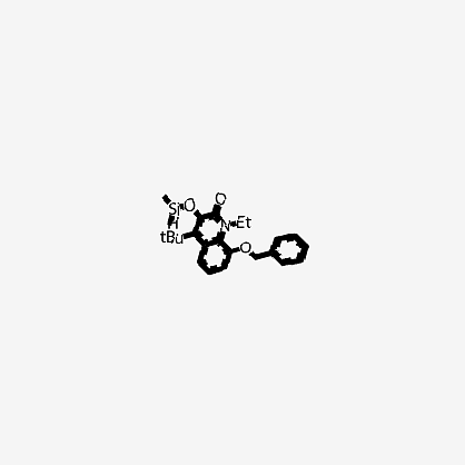 CCn1c(=O)c(O[SiH](C)C)c(C(C)(C)C)c2cccc(OCc3ccccc3)c21